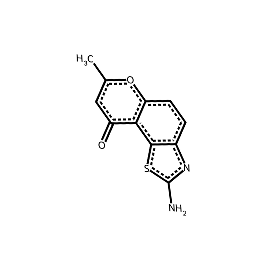 Cc1cc(=O)c2c(ccc3nc(N)sc32)o1